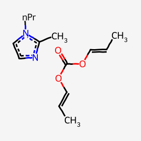 CC=COC(=O)OC=CC.CCCn1ccnc1C